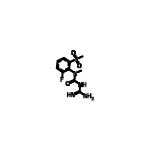 CN(C(=O)NC(=N)N)c1c(F)cccc1S(C)(=O)=O